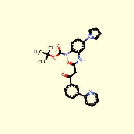 CC(C)(C)OC(=O)Nc1ccc(-n2cccc2)cc1NC(=O)CC(=O)c1cccc(-c2ccccn2)c1